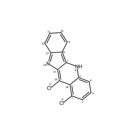 Clc1cccc2[nH]c3c4ccccc4nc-3c(Cl)c12